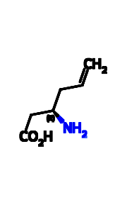 C=CC[C@@H](N)CC(=O)O